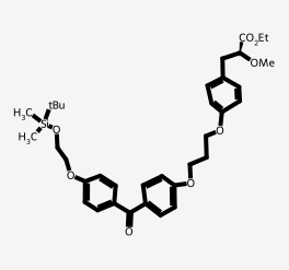 CCOC(=O)[C@H](Cc1ccc(OCCCOc2ccc(C(=O)c3ccc(OCCO[Si](C)(C)C(C)(C)C)cc3)cc2)cc1)OC